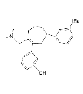 CN(C)CC1=C(c2cccc(O)c2)CC(c2cccc(C(C)(C)C)c2)CCC1